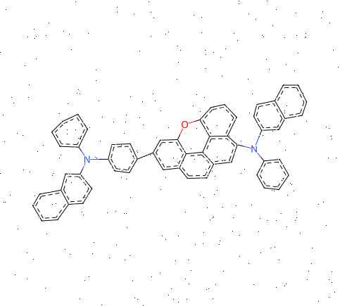 c1ccc(N(c2ccc(-c3cc4c5c(ccc6cc(N(c7ccccc7)c7ccc8ccccc8c7)c7cccc(c7c65)O4)c3)cc2)c2ccc3ccccc3c2)cc1